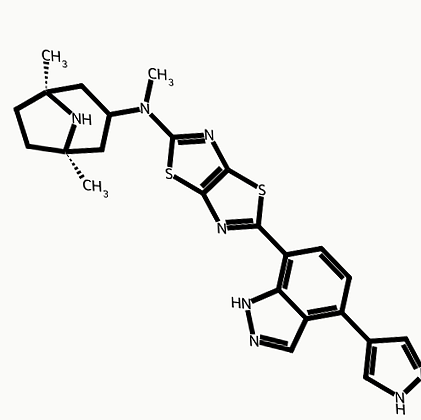 CN(c1nc2sc(-c3ccc(-c4cn[nH]c4)c4cn[nH]c34)nc2s1)C1C[C@]2(C)CC[C@](C)(C1)N2